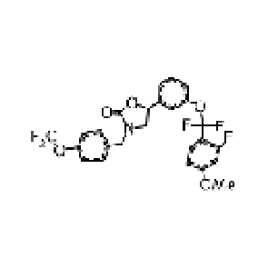 COc1ccc(C(F)(F)Oc2cccc(C3CN(Cc4ccc(OC(F)(F)F)cc4)C(=O)O3)c2)c(F)c1